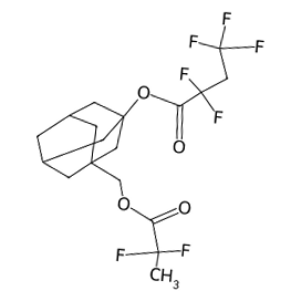 CC(F)(F)C(=O)OCC12CC3CC(C1)CC(OC(=O)C(F)(F)CC(F)(F)F)(C3)C2